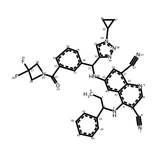 CCC(Nc1c(C#N)cnc2c(C#N)cc(NC(c3cccc(C(=O)N4CC(F)(F)C4)c3)c3cn(C4CC4)nn3)cc12)c1ccccc1